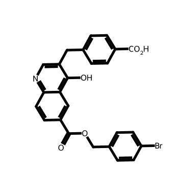 O=C(O)c1ccc(Cc2cnc3ccc(C(=O)OCc4ccc(Br)cc4)cc3c2O)cc1